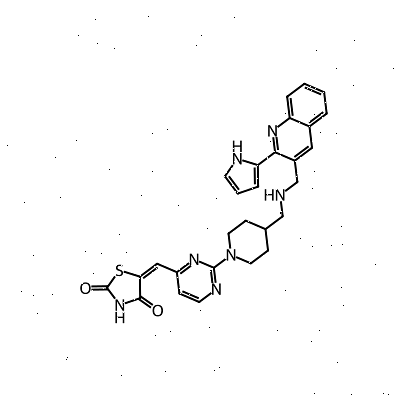 O=C1NC(=O)/C(=C\c2ccnc(N3CCC(CNCc4cc5ccccc5nc4-c4ccc[nH]4)CC3)n2)S1